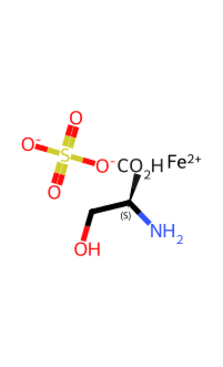 N[C@@H](CO)C(=O)O.O=S(=O)([O-])[O-].[Fe+2]